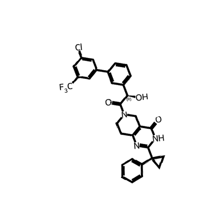 O=C([C@H](O)c1cccc(-c2cc(Cl)cc(C(F)(F)F)c2)c1)N1CCc2nc(C3(c4ccccc4)CC3)[nH]c(=O)c2C1